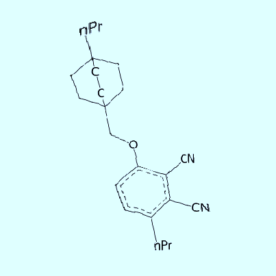 CCCc1ccc(OCC23CCC(CCC)(CC2)CC3)c(C#N)c1C#N